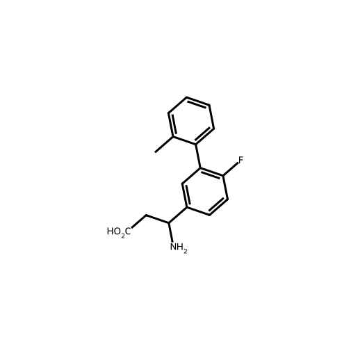 Cc1ccccc1-c1cc(C(N)CC(=O)O)ccc1F